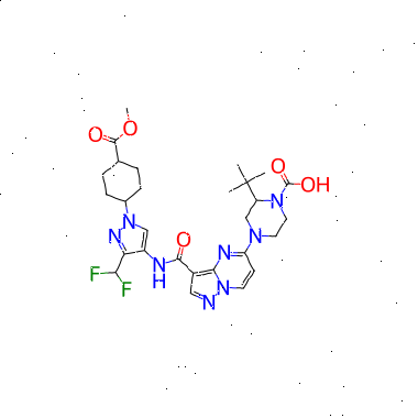 COC(=O)C1CCC(n2cc(NC(=O)c3cnn4ccc(N5CCN(C(=O)O)C(C(C)(C)C)C5)nc34)c(C(F)F)n2)CC1